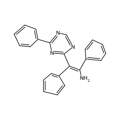 NC(=C(c1ccccc1)c1ncnc(-c2ccccc2)n1)c1ccccc1